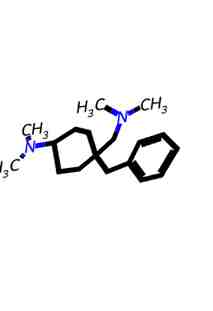 CN(C)CC1(Cc2ccccc2)CCC(N(C)C)CC1